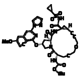 COc1ccc2c(O[C@@H]3C[C@H]4C(=O)N[C@]5(C(=O)NS(=O)(=O)C6CC6)C[C@H]5CCCOCCC[C@H](NC(=O)OC(C)(C)C)C(=O)N4C3)nc(-n3cccn3)cc2c1